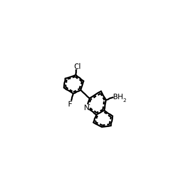 Bc1cc(-c2cc(Cl)ccc2F)nc2ccccc12